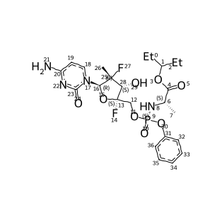 CCC(CC)OC(=O)[C@H](C)N[P@](=O)(OC[C@@]1(F)O[C@@H](n2ccc(N)nc2=O)[C@](C)(F)[C@@H]1O)Oc1ccccc1